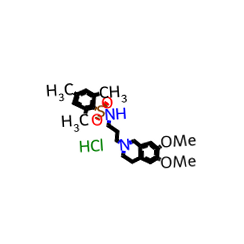 COc1cc2c(cc1OC)CN(CCCNS(=O)(=O)c1c(C)cc(C)cc1C)CC2.Cl